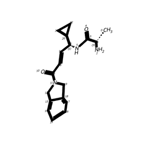 C[C@H](N)C(=O)N[C@H](C=CC(=O)N1Cc2ccccc2C1)C1CC1